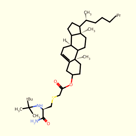 CC(C)CCC[C@@H](C)C1CCC2[C@@H]3CC=C4CC(OC(=O)CSC[C@H](NC(C)(C)C(C)(C)C)C(N)=O)CC[C@]4(C)C3CC[C@@]21C